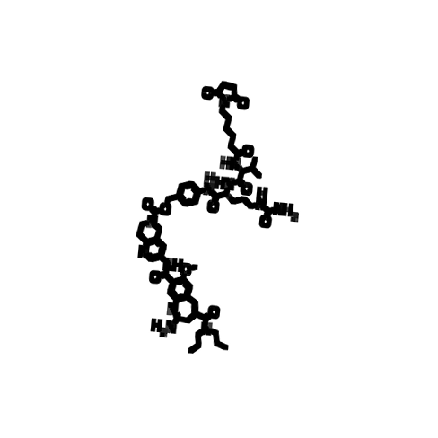 CCCN(CCC)C(=O)C1=Cc2cc(OC)c(C(=O)Nc3cnc4c(c3)CN(C(=O)OCc3ccc(NC(=O)[C@H](CCCNC(N)=O)NC(=O)[C@@H](NC(=O)CCCCCN5C(=O)C=CC5=O)C(C)C)cc3)CC4)cc2N=C(N)C1